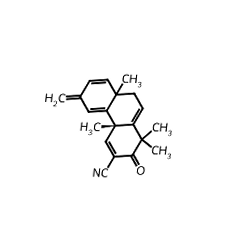 C=C1C=CC2(C)CC=C3C(C)(C)C(=O)C(C#N)=C[C@]3(C)C2=C1